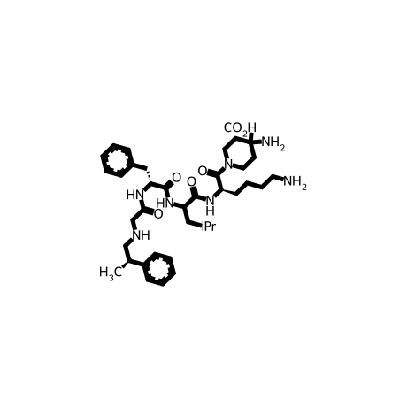 CC(C)CC(NC(=O)[C@@H](Cc1ccccc1)NC(=O)CNC[C@H](C)c1ccccc1)C(=O)N[C@H](CCCCN)C(=O)N1CCC(N)(C(=O)O)CC1